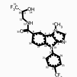 Cn1cnc2c1c1cc(C(=O)NC[C@@H](O)C(F)(F)F)ccc1n2-c1ccc(C(F)(F)F)cc1